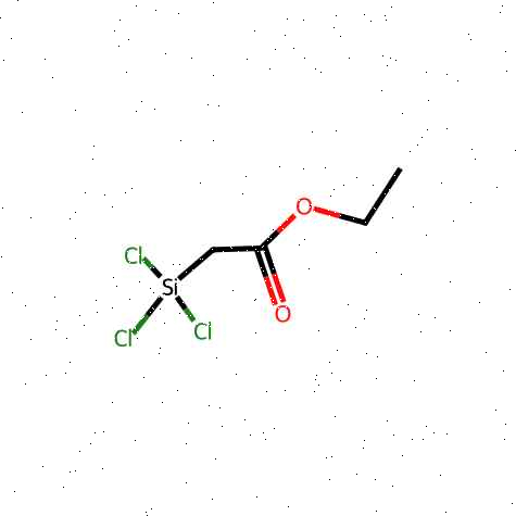 CCOC(=O)C[Si](Cl)(Cl)Cl